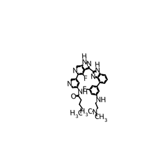 CCCCC(=O)Nc1cncc(-c2ncc3[nH]nc(-c4nc5c(-c6cc(F)cc(NCCN(C)C)c6)cccc5[nH]4)c3c2F)c1